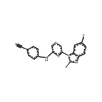 Cc1nc2ccc(F)cc2n1-c1cncc(Nc2ccc(C#N)cc2)n1